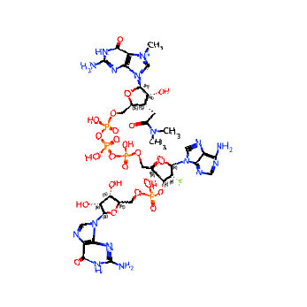 CN(C)C(=O)C[C@H]1[C@@H](O)[C@H](n2c[n+](C)c3c(=O)[nH]c(N)nc32)O[C@@H]1COP(=O)(O)OP(=O)(O)OP(=O)(O)OC[C@H]1O[C@@H](n2cnc3c(N)ncnc32)[C@H](F)[C@@H]1OP(=O)(O)OC[C@H]1O[C@@H](n2cnc3c(=O)[nH]c(N)nc32)[C@H](O)[C@@H]1O